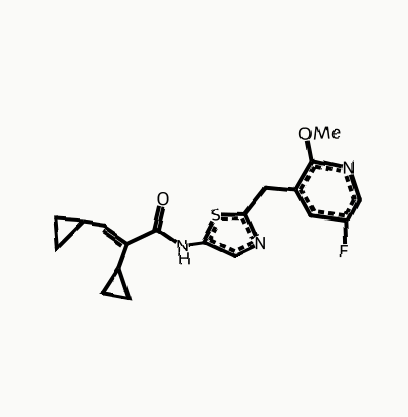 COc1ncc(F)cc1Cc1ncc(NC(=O)C(=CC2CC2)C2CC2)s1